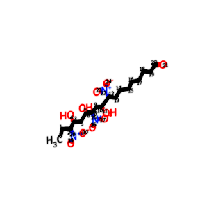 CCC(C(O)CC(O)C(CC(O)C(CCCCCCC[C]=O)[N+](=O)[O-])[N+](=O)[O-])[N+](=O)[O-]